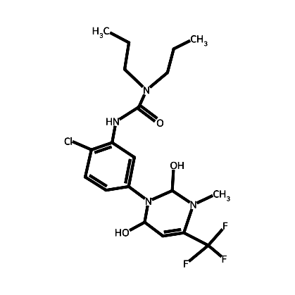 CCCN(CCC)C(=O)Nc1cc(N2C(O)C=C(C(F)(F)F)N(C)C2O)ccc1Cl